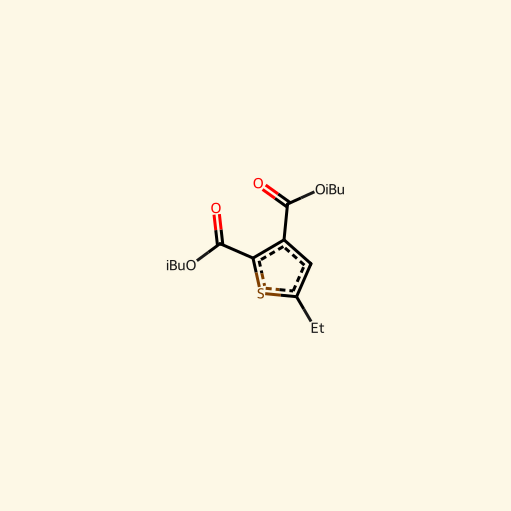 CCc1cc(C(=O)OCC(C)C)c(C(=O)OCC(C)C)s1